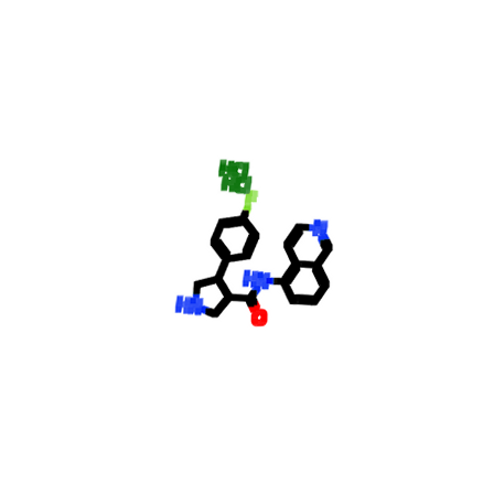 Cl.Cl.O=C(Nc1cccc2cnccc12)C1CNCC1c1ccc(F)cc1